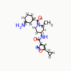 C[C@@H]1CC(NC(=O)c2cc(C3CC3)on2)CCN1C(=O)[C@H]1CCC[C@H](N)C1